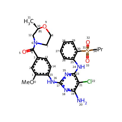 COc1cc(C(=O)N2CCO[C@H](C)C2)ccc1Nc1nc(N)c(Cl)c(Nc2ccccc2S(=O)(=O)C(C)C)n1